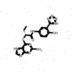 CC[C@@H](Sc1nc(N)nc2nc[nH]c12)C(=O)Nc1ccc(O)c(-c2nnn[nH]2)c1